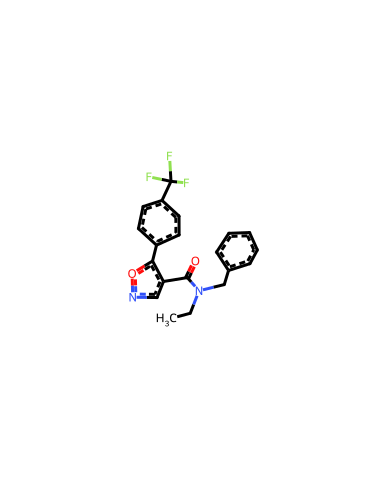 CCN(Cc1ccccc1)C(=O)c1cnoc1-c1ccc(C(F)(F)F)cc1